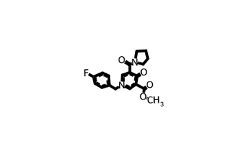 COC(=O)c1cn(Cc2ccc(F)cc2)cc(C(=O)N2CCCC2)c1=O